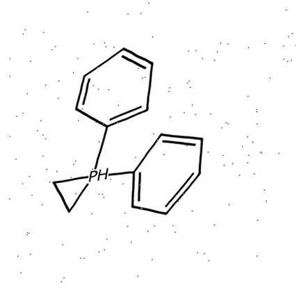 c1ccc([PH]2(c3ccccc3)CC2)cc1